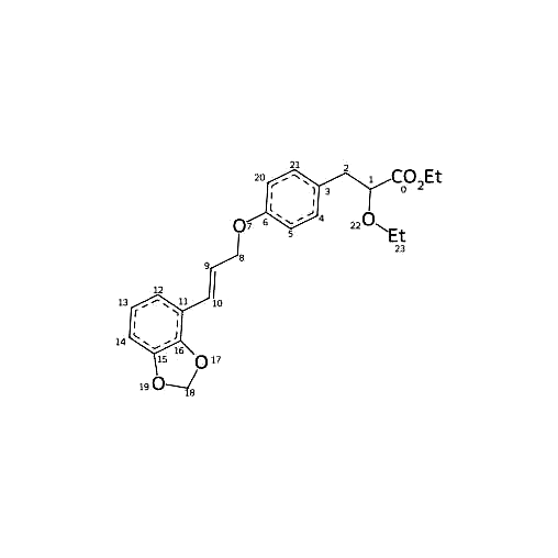 CCOC(=O)C(Cc1ccc(OCC=Cc2cccc3c2OCO3)cc1)OCC